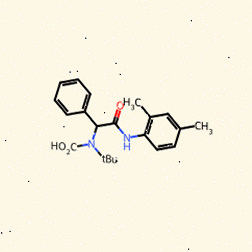 Cc1ccc(NC(=O)C(c2ccccc2)N(C(=O)O)C(C)(C)C)c(C)c1